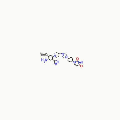 COc1cc(N2CCC(CN3CCN(c4ccc(-n5ccc(=O)[nH]c5=O)cc4)CC3)CC2)c(-c2cnn(C)c2)cc1N